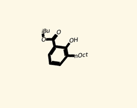 CCCCCCCCc1cccc(C(=O)OC(C)CC)c1O